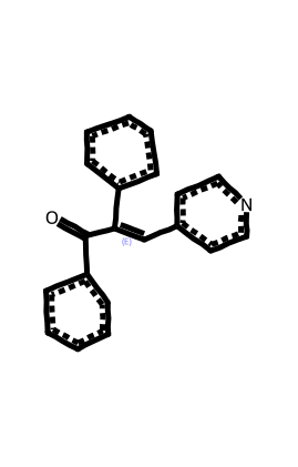 O=C(/C(=C/c1ccncc1)c1ccccc1)c1ccccc1